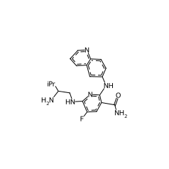 CC(C)C(N)CNc1nc(Nc2ccc3ncccc3c2)c(C(N)=O)cc1F